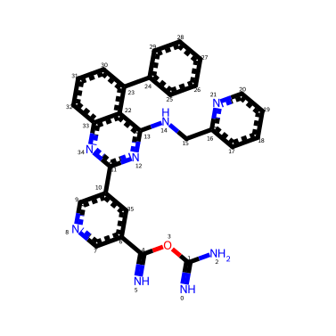 N=C(N)OC(=N)c1cncc(-c2nc(NCc3ccccn3)c3c(-c4ccccc4)cccc3n2)c1